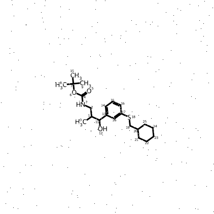 CC(CNC(=O)OC(C)(C)C)C(O)c1cccc(SCC2CCCCC2)c1